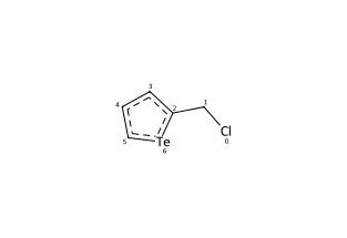 ClCc1ccc[te]1